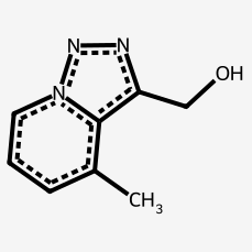 Cc1cccn2nnc(CO)c12